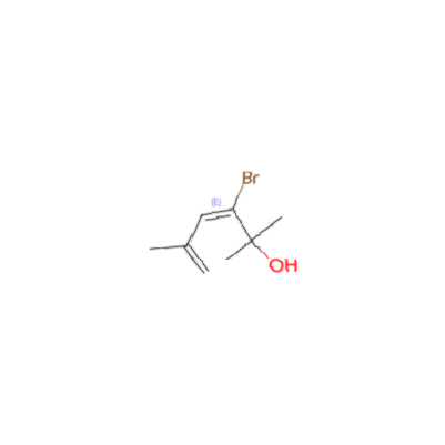 C=C(C)/C=C(/Br)C(C)(C)O